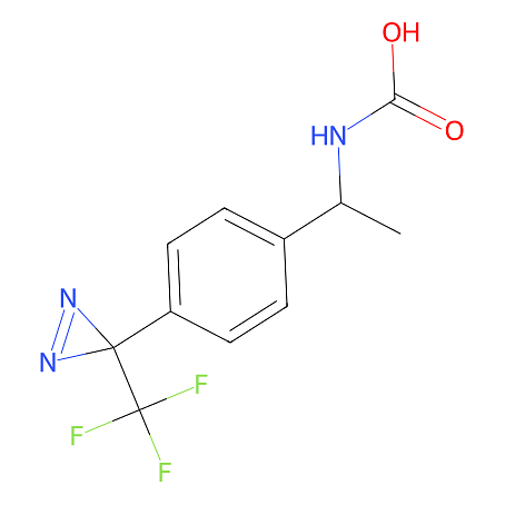 CC(NC(=O)O)c1ccc(C2(C(F)(F)F)N=N2)cc1